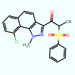 Cn1nc(C(=O)C(C#N)S(=O)(=O)c2ccccc2)c2ccc3cccc(Cl)c3c21